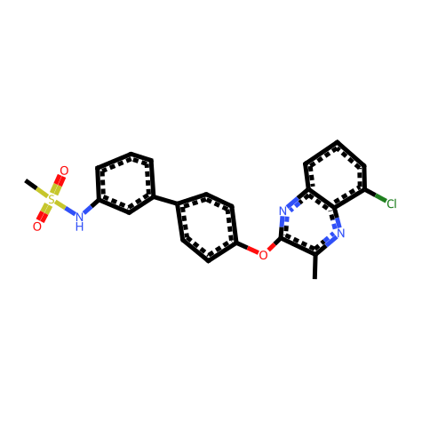 Cc1nc2c(Cl)cccc2nc1Oc1ccc(-c2cccc(NS(C)(=O)=O)c2)cc1